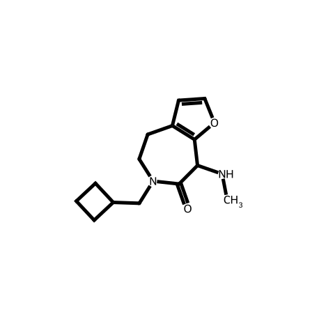 CNC1C(=O)N(CC2CCC2)CCc2ccoc21